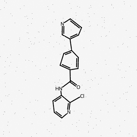 O=C(Nc1cccnc1Cl)c1ccc(-c2cccnc2)cc1